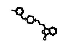 Cc1cccc(CN2CCN(CCCC3OC(=O)c4ccccc43)CC2)c1